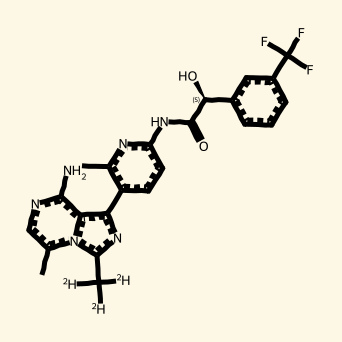 [2H]C([2H])([2H])c1nc(-c2ccc(NC(=O)[C@@H](O)c3cccc(C(F)(F)F)c3)nc2C)c2c(N)ncc(C)n12